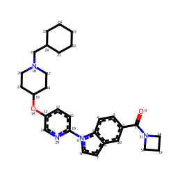 O=C(c1ccc2c(ccn2-c2ccc(OC3CCN(CC4CCCCC4)CC3)cn2)c1)N1CCC1